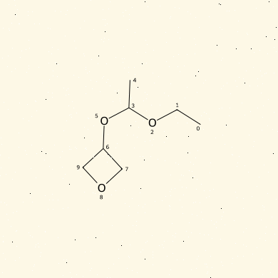 CCOC(C)OC1COC1